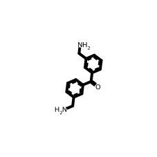 NCc1cccc(C(=O)c2cccc(CN)c2)c1